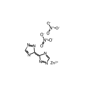 C1=NC(=C2N=CN=N2)N=N1.O=[N+]([O-])[O-].O=[N+]([O-])[O-].[Zn+2]